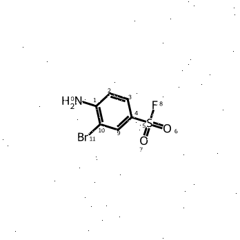 Nc1ccc(S(=O)(=O)F)cc1Br